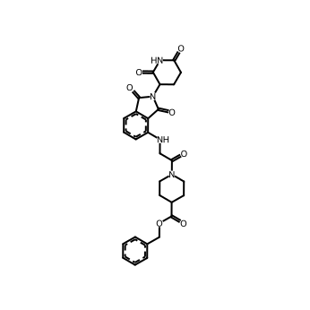 O=C1CCC(N2C(=O)c3cccc(NCC(=O)N4CCC(C(=O)OCc5ccccc5)CC4)c3C2=O)C(=O)N1